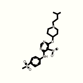 CC(C)CCN1CCC(Oc2ncnc(Nc3ccc(S(C)(=O)=O)cc3)c2[N+](=O)[O-])CC1